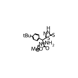 COC(=O)[C@@](N)(N=C=O)C(c1ccc(C(C)(C)C)cc1)c1n[nH]c(=S)s1